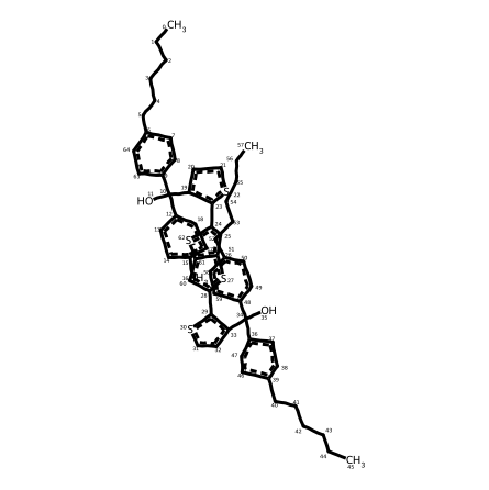 CCCCCCc1ccc(C(O)(c2ccc(C)cc2)c2ccsc2-c2cc3sc(-c4sccc4C(O)(c4ccc(CCCCCC)cc4)c4ccc(CCCCCC)cc4)cc3s2)cc1